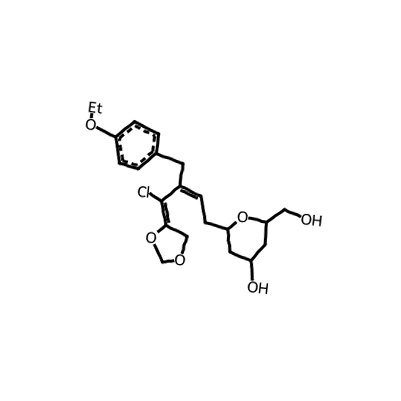 CCOc1ccc(CC(=C/CC2CC(O)CC(CO)O2)/C(Cl)=C2\COCO2)cc1